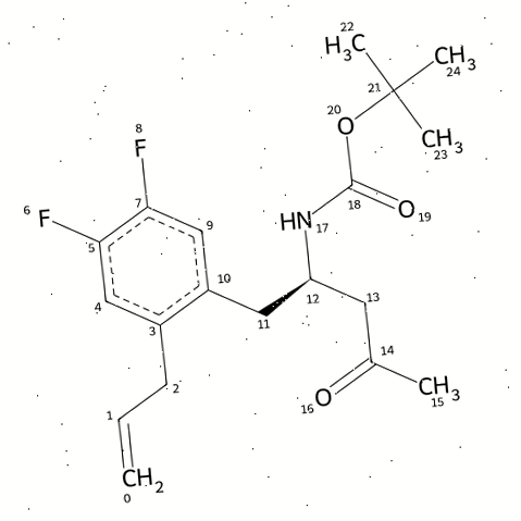 C=CCc1cc(F)c(F)cc1C[C@H](CC(C)=O)NC(=O)OC(C)(C)C